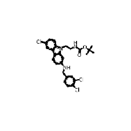 CC(C)(C)OC(=O)NCCn1c2ccc(Cl)cc2c2ccc(NCc3ccc(Cl)c(Cl)c3)cc21